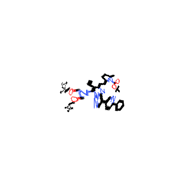 C=Cc1c(CCC2CCC(C)N2C(=O)OC(C)(C)C)nc2c(-c3ccc(-c4ccccc4)nc3)cnn2c1N(COCC[Si](C)(C)C)COCC[Si](C)(C)C